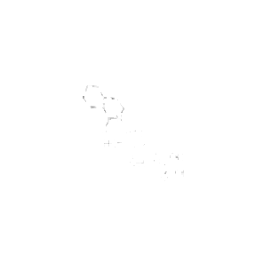 O=P(O)(O)OC[C@H]1O[C@@H](n2ccc3ccccc3c2=S)[C@H](O)[C@H]1O